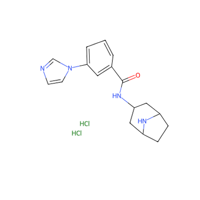 Cl.Cl.O=C(NC1CC2CCC(C1)N2)c1cccc(-n2ccnc2)c1